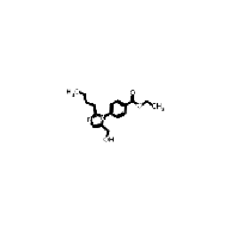 CCCCc1ncc(CO)n1-c1ccc(C(=O)OCC)cc1